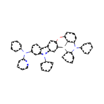 c1ccc(N(c2ccc3c4cc5c(cc4n(-c4ccccc4)c3c2)B2c3ccccc3N(c3ccccc3)c3cccc(c32)O5)c2ccccn2)cc1